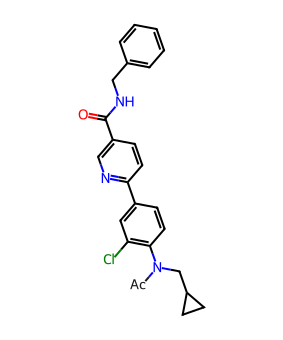 CC(=O)N(CC1CC1)c1ccc(-c2ccc(C(=O)NCc3ccccc3)cn2)cc1Cl